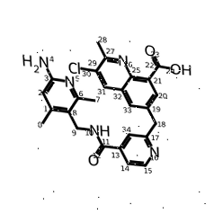 Cc1cc(N)nc(C)c1CNC(=O)c1ccnc(Cc2cc(C(=O)O)c3nc(C)c(Cl)cc3c2)c1